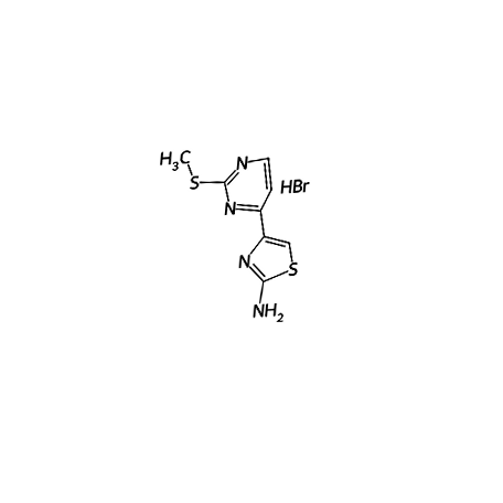 Br.CSc1nccc(-c2csc(N)n2)n1